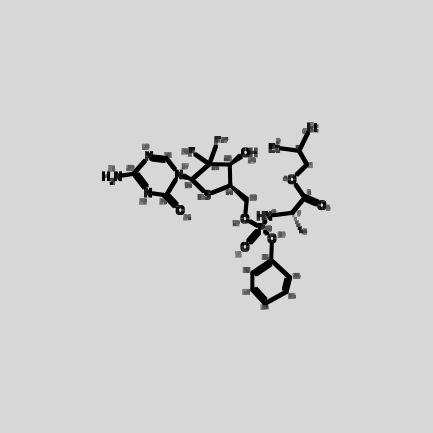 CCC(CC)COC(=O)[C@H](C)NP(=O)(OC[C@H]1S[C@@H](n2cnc(N)nc2=O)C(F)(F)[C@H]1O)Oc1ccccc1